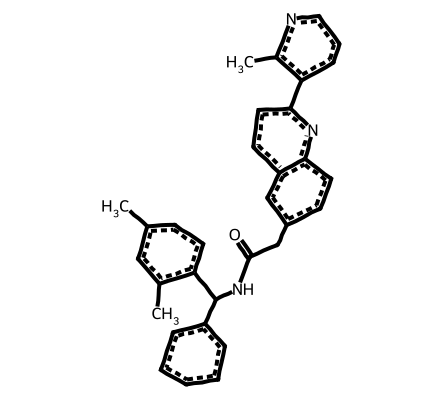 Cc1ccc(C(NC(=O)Cc2ccc3nc(-c4cccnc4C)ccc3c2)c2ccccc2)c(C)c1